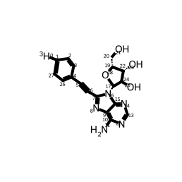 [3H]c1ccc(C#Cc2nc3c(N)ncnc3n2[C@@H]2O[C@H](CO)[C@H](O)C2O)cc1